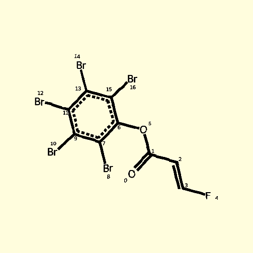 O=C(C=CF)Oc1c(Br)c(Br)c(Br)c(Br)c1Br